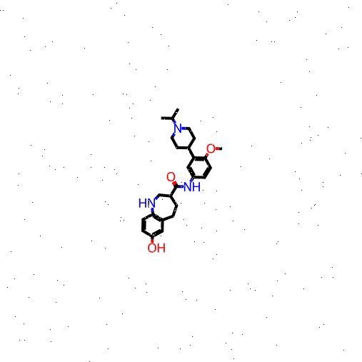 COc1ccc(NC(=O)C2CCc3cc(O)ccc3NC2)cc1C1CCN(C(C)C)CC1